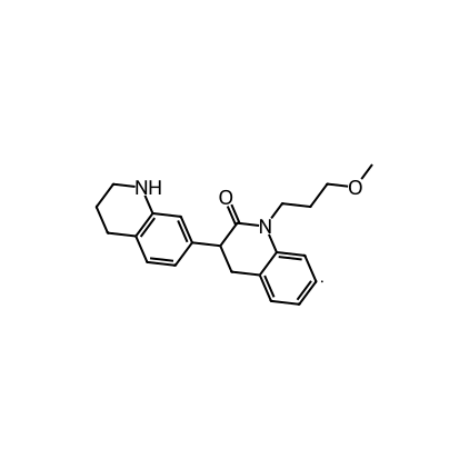 COCCCN1C(=O)C(c2ccc3c(c2)NCCC3)Cc2cc[c]cc21